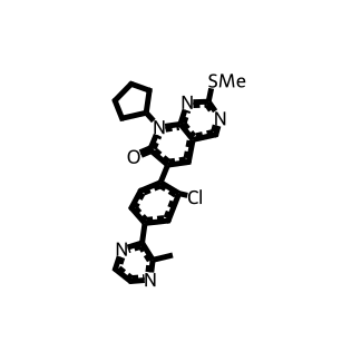 CSc1ncc2cc(-c3ccc(-c4nccnc4C)cc3Cl)c(=O)n(C3CCCC3)c2n1